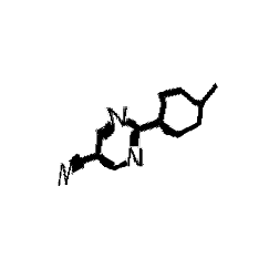 CC1CCC(c2ncc(C#N)cn2)CC1